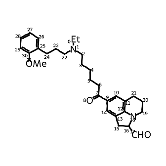 CCN(CCCCCC(=O)c1cc2c3c(c1)CC(C=O)N3CCC2)CCCc1ccccc1OC